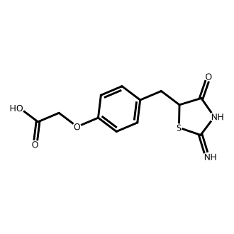 N=C1NC(=O)C(Cc2ccc(OCC(=O)O)cc2)S1